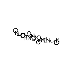 O=C(Nc1ccc(OC(=O)N2CCN(CCc3cccnc3)CC2)cn1)c1ccc(CN2CCCCC2)cc1